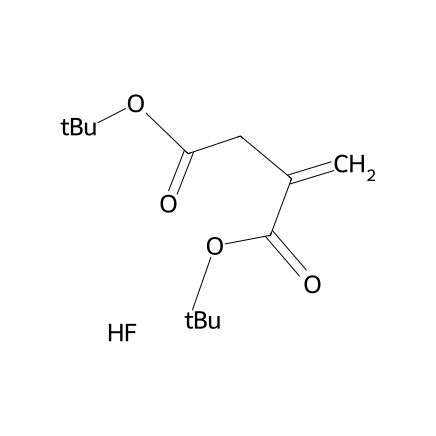 C=C(CC(=O)OC(C)(C)C)C(=O)OC(C)(C)C.F